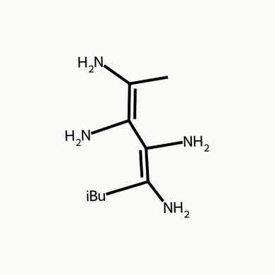 CCC(C)/C(N)=C(N)\C(N)=C(/C)N